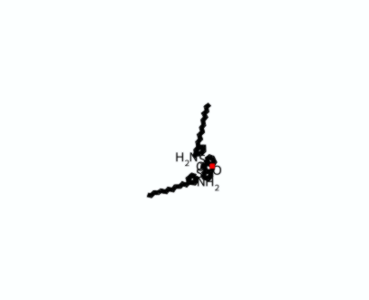 CCCCCCCCCCCCc1ccc(Sc2cccc3c2C(=O)c2c(Sc4ccc(CCCCCCCCCCCC)cc4N)cccc2C3=O)c(N)c1